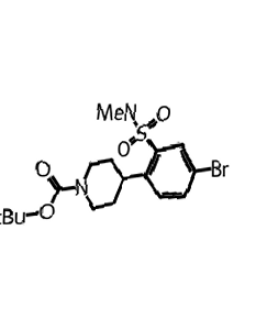 CNS(=O)(=O)c1cc(Br)ccc1C1CCN(C(=O)OC(C)(C)C)CC1